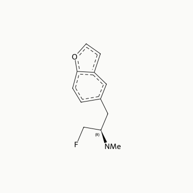 CN[C@@H](CF)Cc1ccc2occc2c1